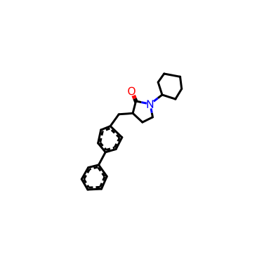 O=C1C(Cc2ccc(-c3ccccc3)cc2)CCN1C1CCCCC1